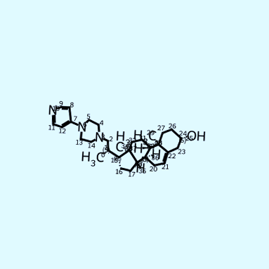 C[C@H](CN1CCN(c2ccncc2)CC1)[C@H]1CC[C@H]2[C@@H]3CC=C4C[C@@H](O)CC[C@]4(C)[C@H]3CC[C@]12C